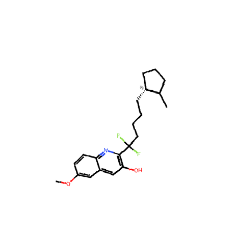 COc1ccc2nc(C(F)(F)CCCC[C@@H]3CCCC3C)c(O)cc2c1